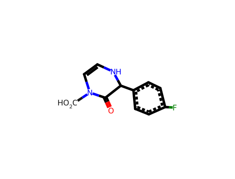 O=C(O)N1C=CNC(c2ccc(F)cc2)C1=O